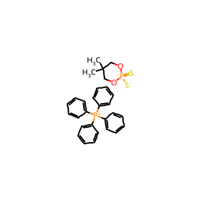 CC1(C)COP(=S)([S-])OC1.c1ccc([P+](c2ccccc2)(c2ccccc2)c2ccccc2)cc1